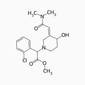 COC(=O)C(c1ccccc1Cl)N1CCC(O)/C(=C/C(=O)N(C)C)C1